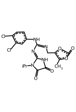 Cc1oc(=O)oc1CN=C(N=C1NC(=O)C(=O)N1C(C)C)Nc1ccc(Cl)c(Cl)c1